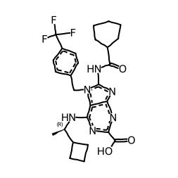 C[C@@H](Nc1nc(C(=O)O)nc2nc(NC(=O)C3CCCCC3)n(Cc3ccc(C(F)(F)F)cc3)c12)C1CCC1